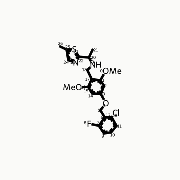 COc1cc(OCc2c(F)cccc2Cl)cc(OC)c1CNC(C)c1ncc(C)s1